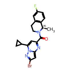 C[C@@H]1c2ccc(F)cc2CCN1C(=O)c1cc(C2CC2)n2nc(Br)cc2n1